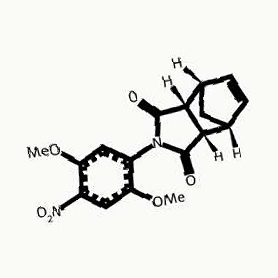 COc1cc([N+](=O)[O-])c(OC)cc1N1C(=O)[C@@H]2[C@H](C1=O)[C@@H]1C=C[C@H]2C1